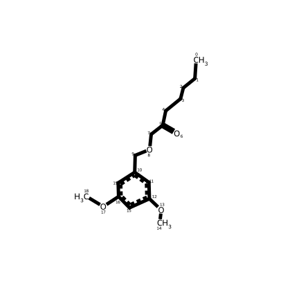 CCCCCC(=O)COCc1cc(OC)cc(OC)c1